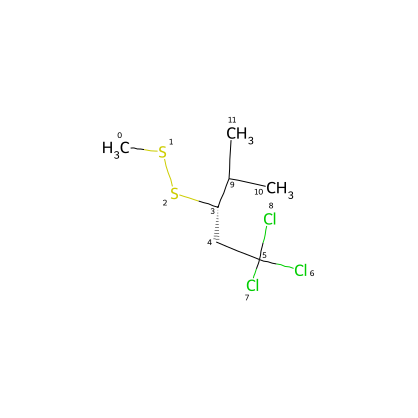 CSS[C@@H](CC(Cl)(Cl)Cl)C(C)C